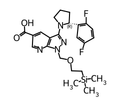 C[Si](C)(C)CCOCn1nc(N2CCC[C@@H]2c2cc(F)ccc2F)c2cc(C(=O)O)cnc21